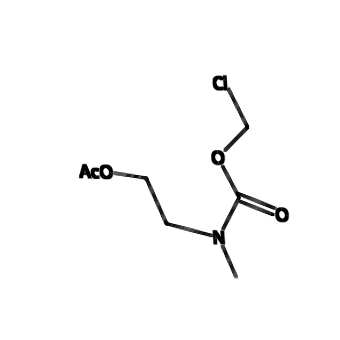 CC(=O)OCCN(C)C(=O)OCCl